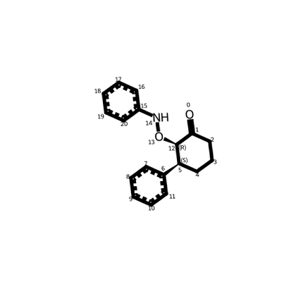 O=C1CCC[C@@H](c2ccccc2)[C@H]1ONc1ccccc1